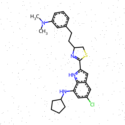 CN(C)c1cccc(CCC2CSC(c3cc4cc(Cl)cc(NC5CCCC5)c4[nH]3)=N2)c1